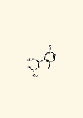 CCOC(=O)/C(=N\[S@@+]([O-])C(C)(C)C)c1cc(Br)ccc1F